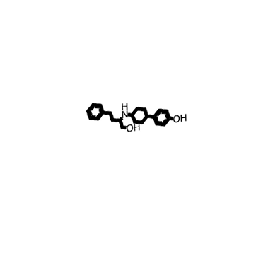 OCC(CCc1ccccc1)NC1CCC(c2ccc(O)cc2)CC1